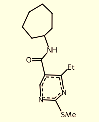 CCc1nc(SC)ncc1C(=O)NC1CCCCCC1